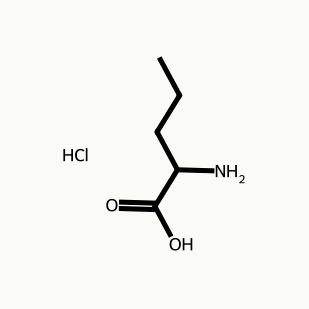 CCCC(N)C(=O)O.Cl